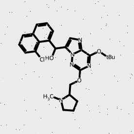 CN1CCCC1COc1nc(OC(C)(C)C)c2ncc(C(O)c3cccc4cccc(Cl)c34)n2n1